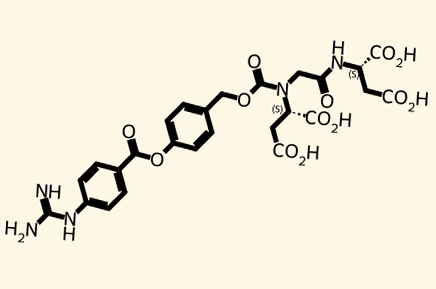 N=C(N)Nc1ccc(C(=O)Oc2ccc(COC(=O)N(CC(=O)N[C@@H](CC(=O)O)C(=O)O)[C@@H](CC(=O)O)C(=O)O)cc2)cc1